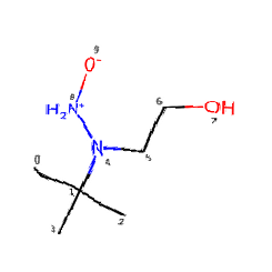 CC(C)(C)N(CCO)[NH2+][O-]